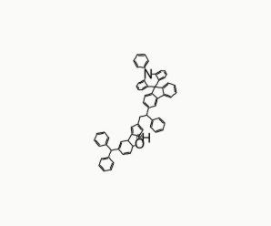 C1=CC2O[C@@H]3C=C(CC(c4ccccc4)c4ccc5c(c4)-c4ccccc4C54c5ccccc5N(c5ccccc5)c5ccccc54)C=C3C2C=C1C(c1ccccc1)c1ccccc1